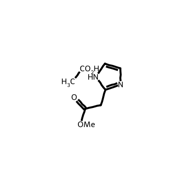 CC(=O)O.COC(=O)Cc1ncc[nH]1